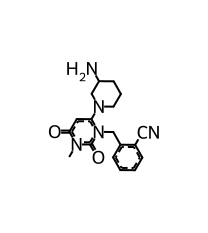 Cn1c(=O)cc(N2CCCC(N)C2)n(Cc2ccccc2C#N)c1=O